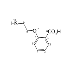 O=C(O)c1ccccc1OCCS